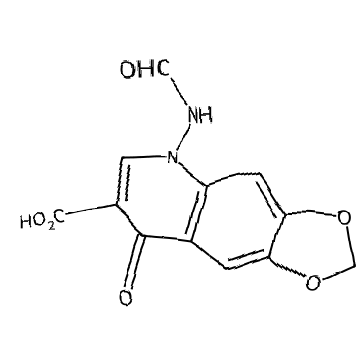 O=CNn1cc(C(=O)O)c(=O)c2cc3c(cc21)OCO3